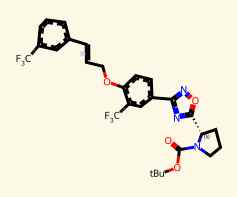 CC(C)(C)OC(=O)N1CCC[C@H]1c1nc(-c2ccc(OC/C=C/c3cccc(C(F)(F)F)c3)c(C(F)(F)F)c2)no1